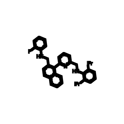 CC(C)c1cccc(C(C)C)c1NCc1cccc(-c2c(CNc3ccccc3F)ccc3ccccc23)n1